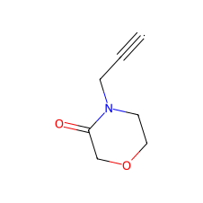 [C]#CCN1CCOCC1=O